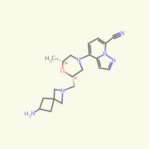 C[C@@H]1CN(c2ccc(C#N)n3nccc23)C[C@H](CN2CC3(CC(N)C3)C2)O1